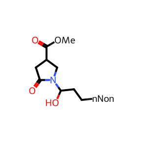 CCCCCCCCCCCC(O)N1CC(C(=O)OC)CC1=O